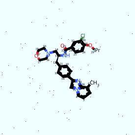 Cc1cccn2cc(-c3ccc(C[C@@H](CN4CCOCC4)NC(=O)c4ccc(OC(C)C)c(Cl)c4)cc3)nc12